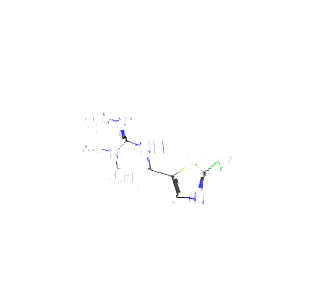 CC(=O)N(C)/C(=N\[N+](=O)[O-])NCc1cnc(Cl)s1